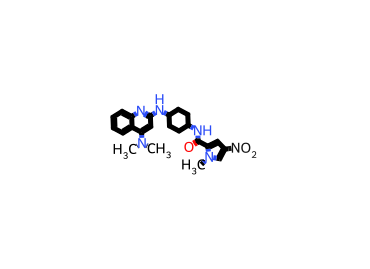 CN(C)c1cc(NC2CCC(NC(=O)c3cc([N+](=O)[O-])cn3C)CC2)nc2ccccc12